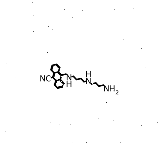 N#Cc1c2ccccc2c(CNCCCCNCCCCN)c2ccccc12